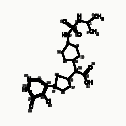 CC(C)NS(=O)(=O)NC1CCC(N(C(=O)O)C2CCN(c3cn[nH]c(=O)c3Cl)C2)CC1